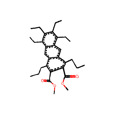 CCCc1c(C(=O)OC)c(C(=O)OC)c(CCC)c2cc3c(CC)c(CC)c(CC)c(CC)c3cc12